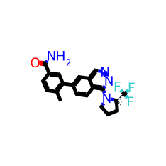 Cc1ccc(C(N)=O)cc1-c1ccc2c(N3CCC[C@H]3C(F)(F)F)nncc2c1